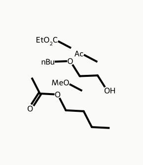 CC(C)=O.CCCCOC(C)=O.CCCCOCCO.CCOC(C)=O.COC